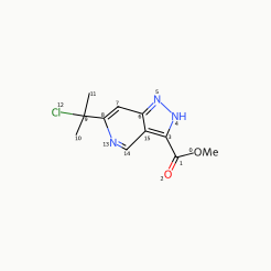 COC(=O)c1[nH]nc2cc(C(C)(C)Cl)ncc12